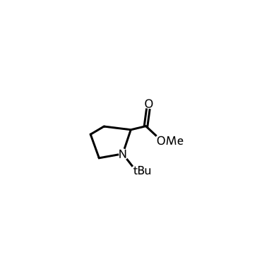 COC(=O)C1CCCN1C(C)(C)C